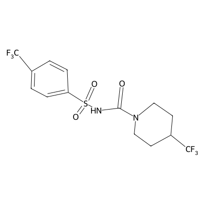 O=C(NS(=O)(=O)c1ccc(C(F)(F)F)cc1)N1CCC(C(F)(F)F)CC1